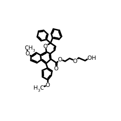 COc1ccc(-c2c(C(=O)OCCOCCO)c3c(c4cc(OC)ccc24)OC(c2ccccc2)(c2ccccc2)C=C3)cc1